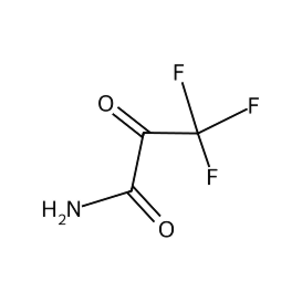 NC(=O)C(=O)C(F)(F)F